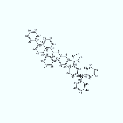 CCC1(CC)c2cc(/C=C/c3cccc4c(-c5ccccc5)ccc(-c5ccccc5)c34)ccc2-c2ccc(N(c3ccccc3)c3ccccc3)cc21